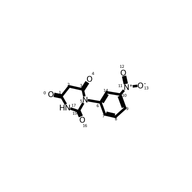 O=C1CC(=O)N(c2cccc([N+](=O)[O-])c2)C(=O)N1